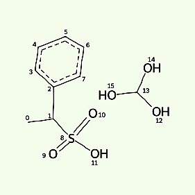 CC(c1ccccc1)S(=O)(=O)O.OC(O)O